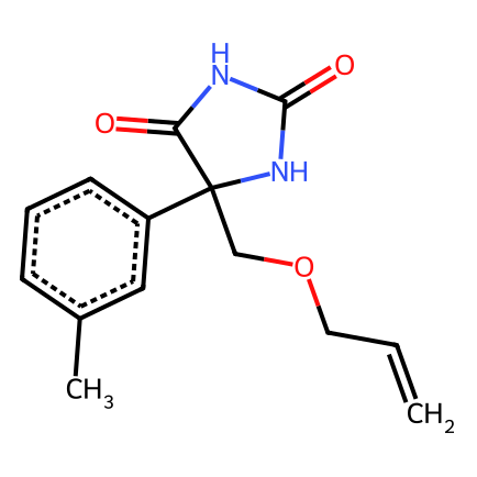 C=CCOCC1(c2cccc(C)c2)NC(=O)NC1=O